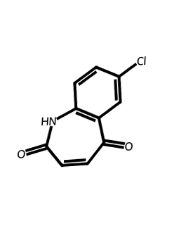 O=c1ccc(=O)c2cc(Cl)ccc2[nH]1